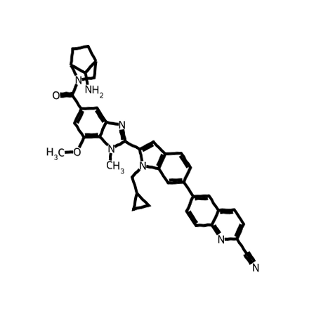 COc1cc(C(=O)N2CC3CCC2C3N)cc2nc(-c3cc4ccc(-c5ccc6nc(C#N)ccc6c5)cc4n3CC3CC3)n(C)c12